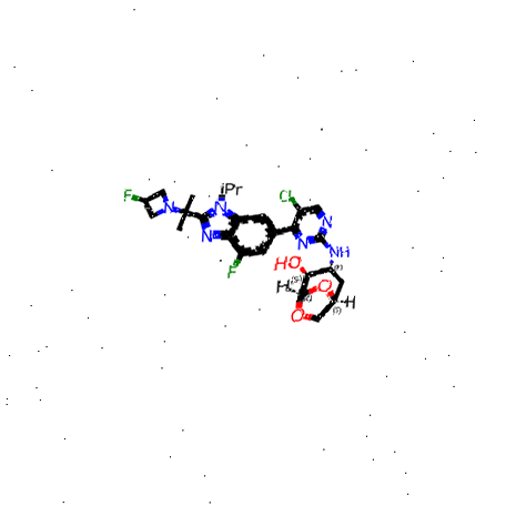 CC(C)n1c(C(C)(C)N2CC(F)C2)nc2c(F)cc(-c3nc(N[C@@H]4C[C@H]5CO[C@H](O5)[C@H]4O)ncc3Cl)cc21